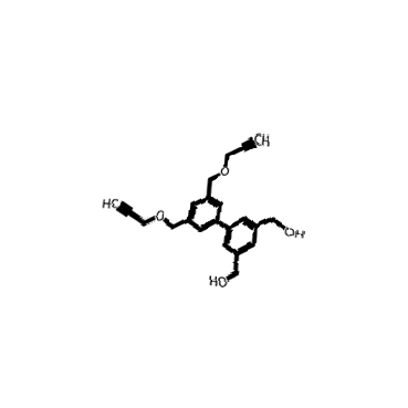 C#CCOCc1cc(COCC#C)cc(-c2cc(CO)cc(CO)c2)c1